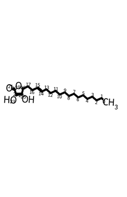 CCCCCCCCCCCCCCC=CCCC1OC(=O)C(O)=C1O